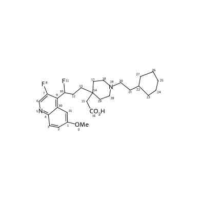 COc1ccc2ncc(F)c(C(F)CCC3(CC(=O)O)CCN(CCC4CCCCC4)CC3)c2c1